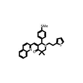 CSc1ccc(C2C(=Cc3ccc4ccccc4n3)C(=O)C(C)(C)CN2CCc2cccs2)cc1